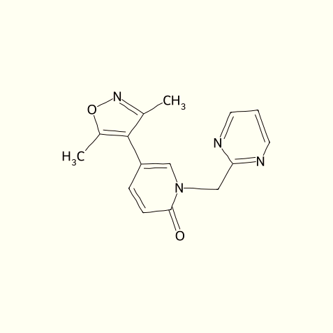 Cc1noc(C)c1-c1ccc(=O)n(Cc2ncccn2)c1